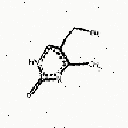 Cc1nc(=O)[nH]cc1CBr